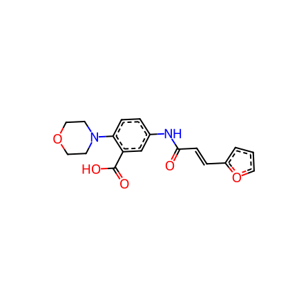 O=C(C=Cc1ccco1)Nc1ccc(N2CCOCC2)c(C(=O)O)c1